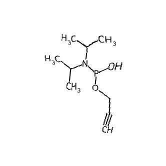 C#CCOP(O)N(C(C)C)C(C)C